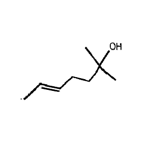 [CH2]/C=C/CCC(C)(C)O